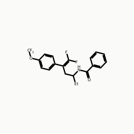 CCC(CC(=C(F)F)c1ccc(OC(F)(F)F)cc1)NC(=O)c1ccccc1